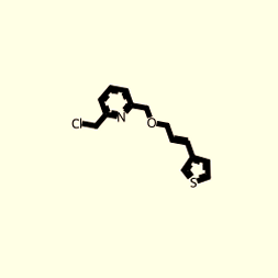 ClCc1cccc(COC/C=C/c2ccsc2)n1